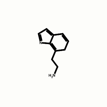 NCCC1=C2N=CC=C2C=CC1